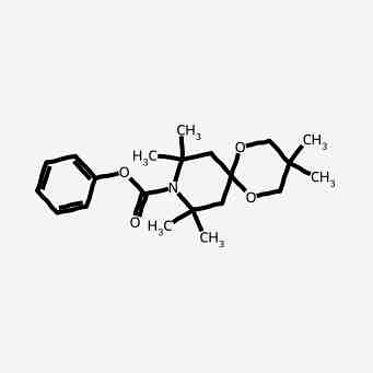 CC1(C)COC2(CC(C)(C)N(C(=O)Oc3ccccc3)C(C)(C)C2)OC1